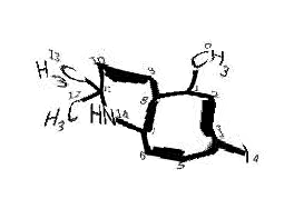 CC1C=C(I)C=CC2=C1C=CC(C)(C)N2